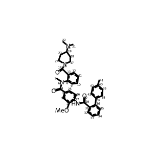 COc1cc(C(=O)N(C)c2ccccc2C(=O)N2CCC(N(C)C)CC2)ccc1NC(=O)c1ccccc1-c1ccc(C)cc1